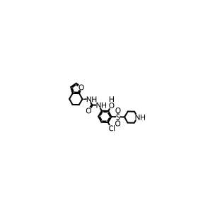 O=C(Nc1ccc(Cl)c(S(=O)(=O)C2CCNCC2)c1O)N[C@H]1CCCc2ccoc21